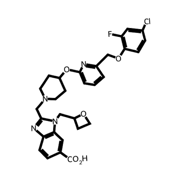 O=C(O)c1ccc2nc(CN3CCC(Oc4cccc(COc5ccc(Cl)cc5F)n4)CC3)n(CC3CCO3)c2c1